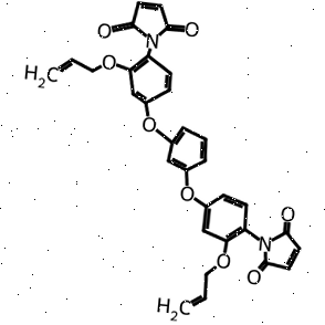 C=CCOc1cc(Oc2cccc(Oc3ccc(N4C(=O)C=CC4=O)c(OCC=C)c3)c2)ccc1N1C(=O)C=CC1=O